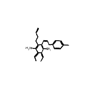 C=CCCc1c(/C=C\Cc2ccc(C)cc2)c(N)c(=C/C)/c(=C\C)c1N